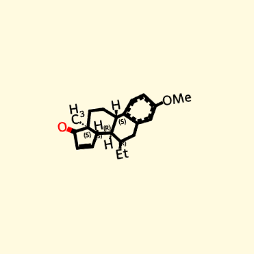 CC[C@@H]1Cc2cc(OC)ccc2[C@H]2CC[C@]3(C)C(=O)C=C[C@@H]3[C@H]12